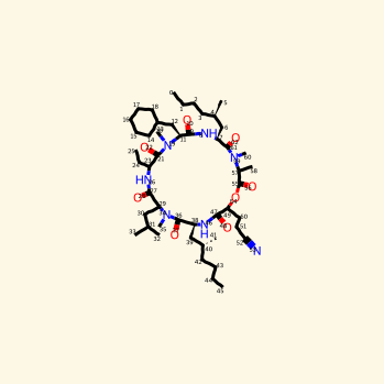 CCCC[C@@H](C)C[C@@H]1NC(=O)[C@H](CC2CCCCC2)N(C)C(=O)C(CC)NC(=O)C(CC(C)C)N(C)C(=O)[C@H](C[C@H](C)CCCC)NC(=O)C(CCC#N)OC(=O)C(C)N(C)C1=O